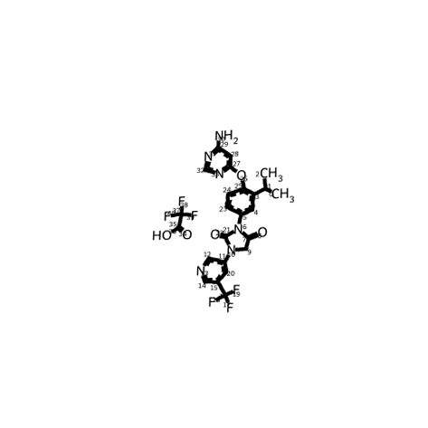 CC(C)c1cc(N2C(=O)CN(c3cncc(C(F)(F)F)c3)C2=O)ccc1Oc1cc(N)ncn1.O=C(O)C(F)(F)F